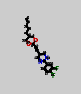 C=CCCCC1COC(C#Cc2cnc(-c3ccc(F)c(F)c3)nc2)OC1